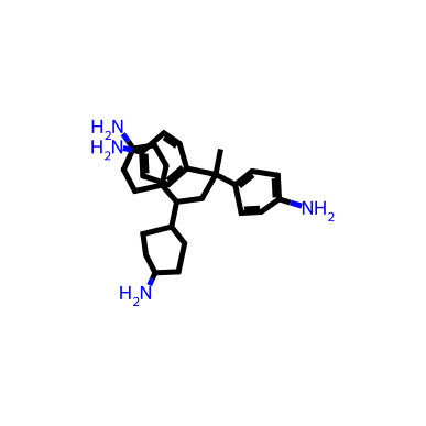 CC(CC(C1CCC(N)CC1)C1CCC(N)CC1)(c1ccc(N)cc1)c1ccc(N)cc1